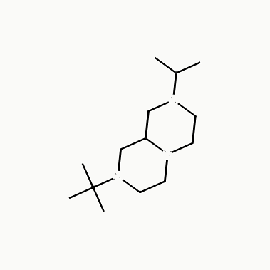 CC(C)N1CCN2CCN(C(C)(C)C)CC2C1